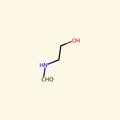 O=[C]NCCO